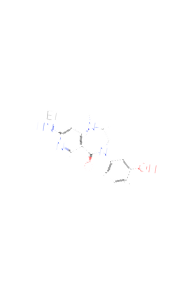 CCNc1cc2c(cn1)C(=O)N(c1cccc(O)c1)CCN2C